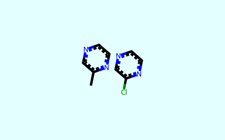 Cc1cnccn1.Clc1cnccn1